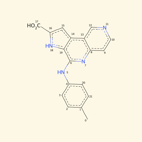 Cc1ccc(Nc2nc3ccncc3c3cc(C(=O)O)[nH]c23)cc1